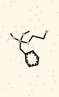 CO[Si](Cc1ccccc1)(OC)OCCBr